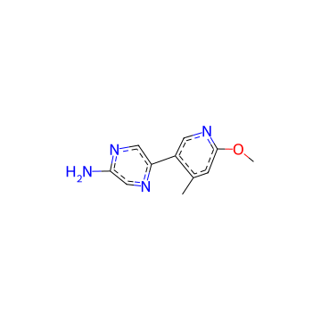 COc1cc(C)c(-c2cnc(N)cn2)cn1